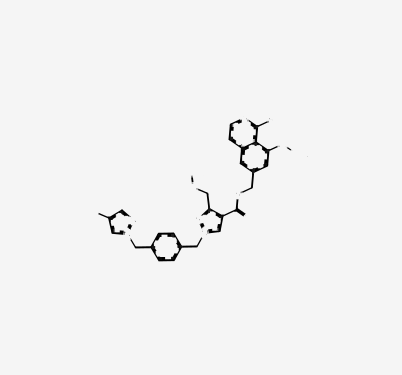 COCc1nn(Cc2ccc(Cn3cc(F)cn3)cc2)cc1C(=O)NCc1cc(OC)c2c(N)nccc2c1